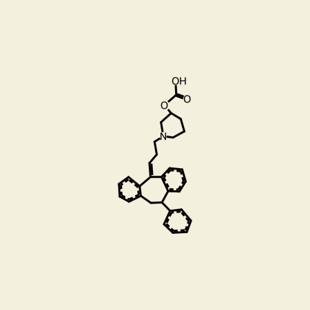 O=C(O)OC1CCCN(CCC=C2c3ccccc3CC(c3ccccc3)c3ccccc32)C1